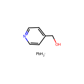 OCc1ccncc1.[PbH2]